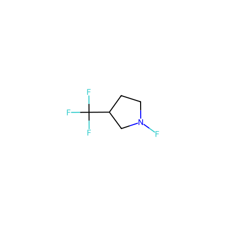 FN1CCC(C(F)(F)F)C1